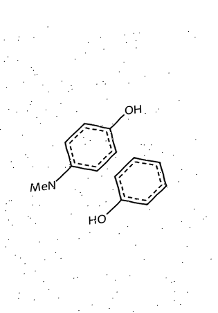 CNc1ccc(O)cc1.Oc1ccccc1